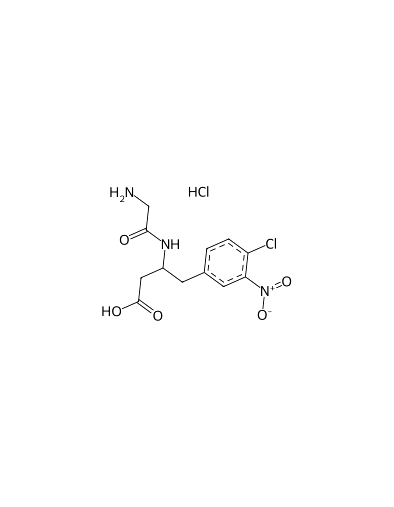 Cl.NCC(=O)NC(CC(=O)O)Cc1ccc(Cl)c([N+](=O)[O-])c1